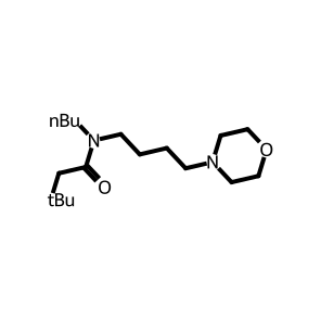 CCCCN(CCCCN1CCOCC1)C(=O)CC(C)(C)C